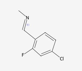 C/N=C/c1ccc(Cl)cc1F